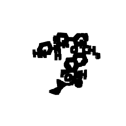 Cc1ccc2c(NS(=O)(=O)C[C@H]3CC34CC4)c(F)ccc2c1Oc1ncccc1-c1ccnc(N[C@H]2CCCNC2)n1